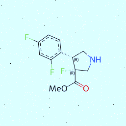 COC(=O)[C@]1(F)CNC[C@H]1c1ccc(F)cc1F